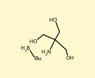 BC(C)CC.NC(CO)(CO)CO